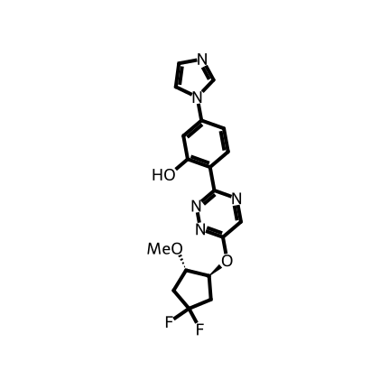 CO[C@H]1CC(F)(F)C[C@@H]1Oc1cnc(-c2ccc(-n3ccnc3)cc2O)nn1